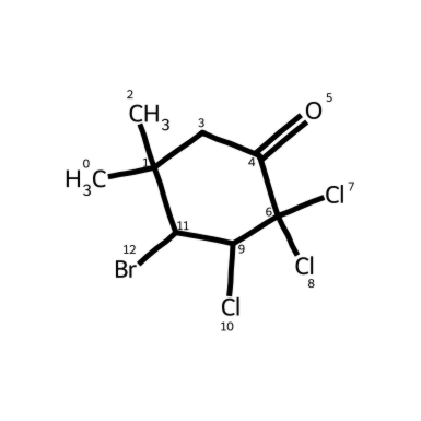 CC1(C)CC(=O)C(Cl)(Cl)C(Cl)C1Br